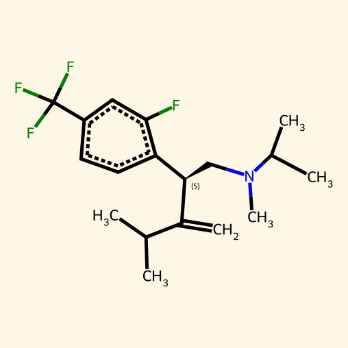 C=C(C(C)C)[C@H](CN(C)C(C)C)c1ccc(C(F)(F)F)cc1F